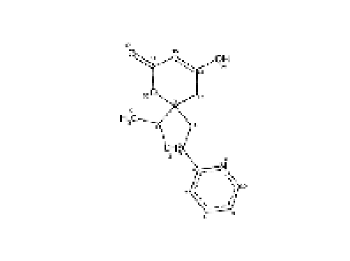 CC(C)C1(CCc2ccccn2)CC(O)=CC(=O)O1